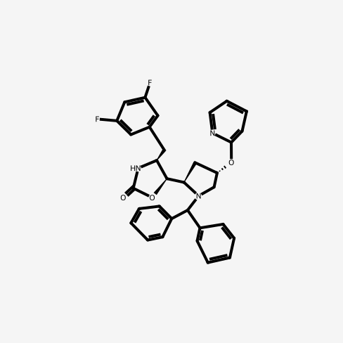 O=C1N[C@@H](Cc2cc(F)cc(F)c2)[C@@H]([C@H]2C[C@H](Oc3ccccn3)CN2C(c2ccccc2)c2ccccc2)O1